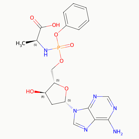 C[C@H](NP(=O)(OC[C@@H]1O[C@H](n2cnc3c(N)ncnc32)C[C@H]1O)Oc1ccccc1)C(=O)O